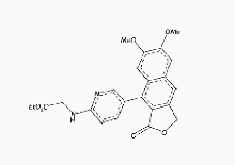 CCOC(=O)CNc1ncc(-c2c3c(cc4cc(OC)c(OC)cc24)COC3=O)cn1